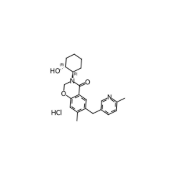 Cc1ccc(Cc2cc3c(cc2C)OCN([C@@H]2CCCC[C@H]2O)C3=O)cn1.Cl